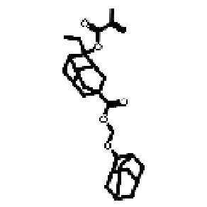 C=C(C)C(=O)OC1(CC)C2CC3CC1CC(C(=O)OCOC1C4CC5CC(C4)CC1C5)(C3)C2